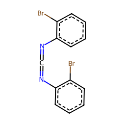 Brc1ccccc1N=C=Nc1ccccc1Br